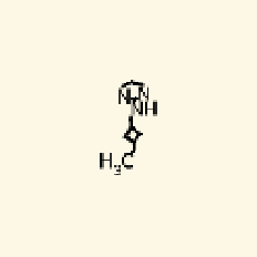 CCC1CC(CNc2ncccn2)C1